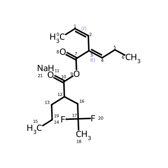 C/C=C\C(=C/CC)C(=O)OC(=O)C(CCC)CC(C)(F)F.[NaH]